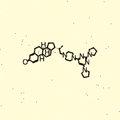 CC(CN1CCN(c2cc(N3CCCC3)nc(N3CCCC3)n2)CC1)[C@H]1CC[C@H]2[C@@H]3CCC4=CC(=O)C=C[C@]4(C)[C@H]3CC[C@]12C